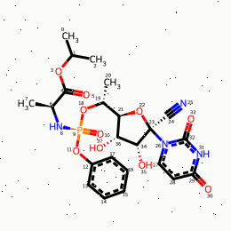 CC(C)OC(=O)[C@H](C)N[P@@](=O)(Oc1ccccc1)O[C@H](C)[C@H]1O[C@@](C#N)(n2ccc(=O)[nH]c2=O)[C@H](O)[C@@H]1O